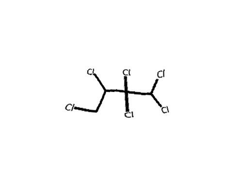 ClCC(Cl)C(Cl)(Cl)C(Cl)Cl